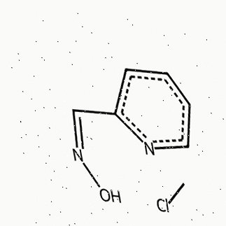 CCl.O/N=C\c1ccccn1